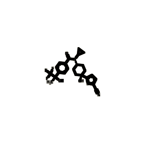 C[C@](O)(c1ccc(C(=O)N(C2CC2)[C@H]2CC[C@@](O)(c3ccc(C#N)s3)CC2)cc1)C(F)(F)F